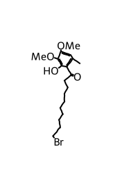 COc1cc(C)c(C(=O)CCCCCCCCCBr)c(O)c1OC